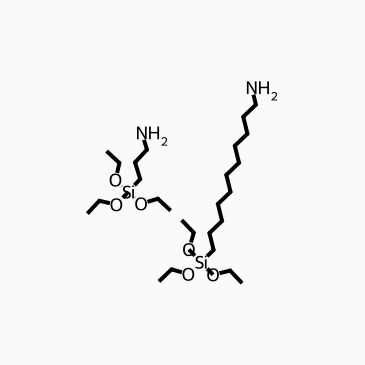 CCO[Si](CCCCCCCCCCCN)(OCC)OCC.CCO[Si](CCCN)(OCC)OCC